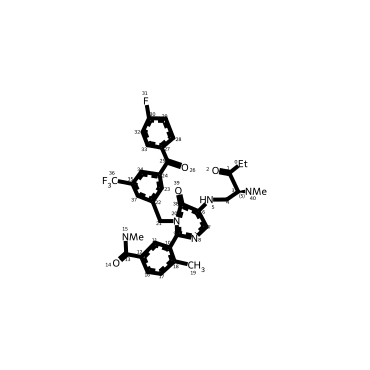 CCC(=O)[C@H](CNc1cnc(-c2cc(C(=O)NC)ccc2C)n(Cc2cc(C(=O)c3ccc(F)cc3)cc(C(F)(F)F)c2)c1=O)NC